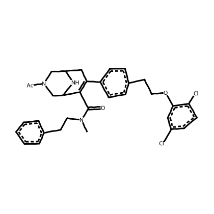 CC(=O)N1CC2CC(c3ccc(CCOc4cc(Cl)ccc4Cl)cc3)=C(C(=O)N(C)CCc3ccccc3)C(C1)N2